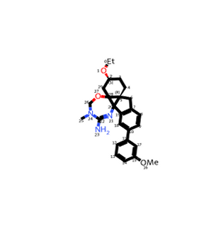 CCO[C@H]1CC[C@@]23Cc4ccc(-c5cccc(OC)c5)cc4C24N=C(N)N(C)COC43C1